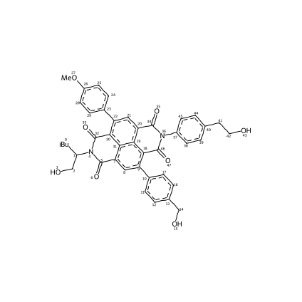 CCC(C)C(CO)N1C(=O)c2cc(-c3ccc(CO)cc3)c3c4c(cc(-c5ccc(OC)cc5)c(c24)C1=O)C(=O)N(c1ccc(CCO)cc1)C3=O